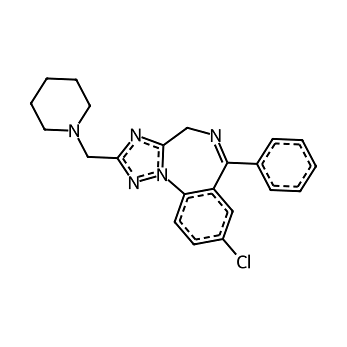 Clc1ccc2c(c1)C(c1ccccc1)=NCc1nc(CN3CCCCC3)nn1-2